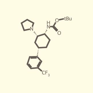 CC(C)(C)OC(=O)N[C@@H]1CC[C@H](c2cccc(C(F)(F)F)c2)C[C@@H]1N1CCCC1